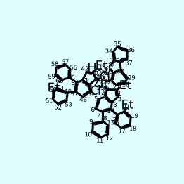 CCC1=Cc2c(ccc(-c3ccccc3)c2-c2ccccc2CC)[CH]1[Zr]([Cl])([Cl])([c]1cccc2c1[SiH2]c1ccccc1-2)[CH]1C(CC)=Cc2c1ccc(-c1ccccc1)c2-c1ccccc1CC